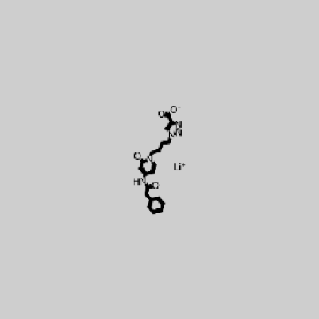 O=C(Cc1ccccc1)Nc1ccn(CCCCn2cc(C(=O)[O-])nn2)c(=O)c1.[Li+]